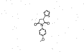 COc1ccc(N2C(=O)CC(c3cccs3)C2=O)cc1